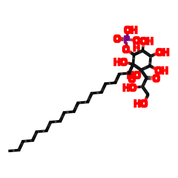 CCCCCCCCCCCCCCCCCC(=O)C1(O)C(OP(=O)(O)O)C(O)C(O)C(O)C1(O)C(=O)C(O)CO